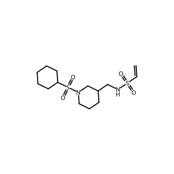 C=CS(=O)(=O)NCC1CCCN(S(=O)(=O)C2CCCCC2)C1